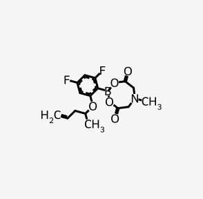 C=CCC(C)Oc1cc(F)cc(F)c1B1OC(=O)CN(C)CC(=O)O1